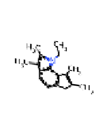 CCn1c(C)c(C)c2ccc3c(c21)C(C)=C(C)C3